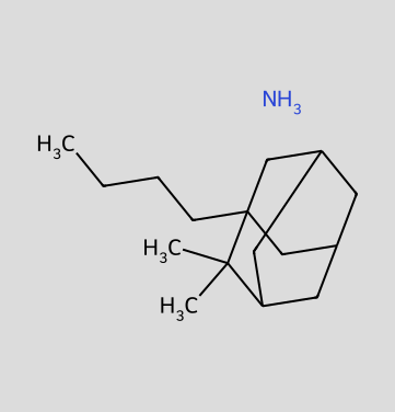 CCCCC12CC3CC(CC(C3)C1(C)C)C2.N